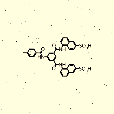 Cc1ccc(C(=O)Nc2cc(C(=O)Nc3cccc4cc(S(=O)(=O)O)ccc34)cc(C(=O)Nc3cccc4cc(S(=O)(=O)O)ccc34)c2)cc1